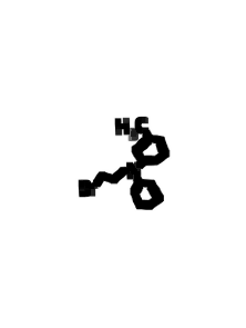 Cc1cccc(N(CCCBr)c2ccccc2)c1